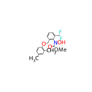 COC(=O)N(O)c1c(COc2ccc(C)cc2C)cccc1C(F)F